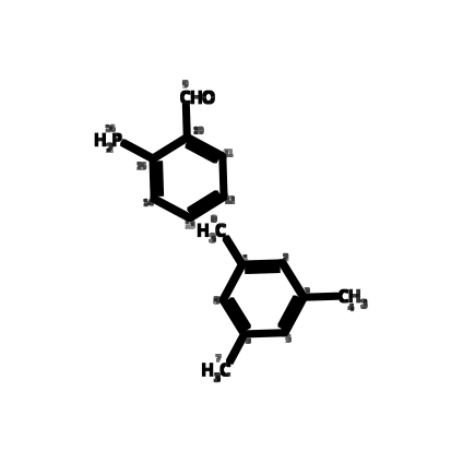 Cc1cc(C)cc(C)c1.O=Cc1ccccc1P